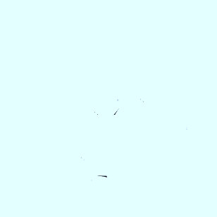 CC(C)(C)OC(=O)N1c2ccccc2C[C@@H]1C(=O)N(CCc1ccc(Cl)cc1)CC(=O)N1Cc2ccccc2C[C@@H]1CC(=O)O